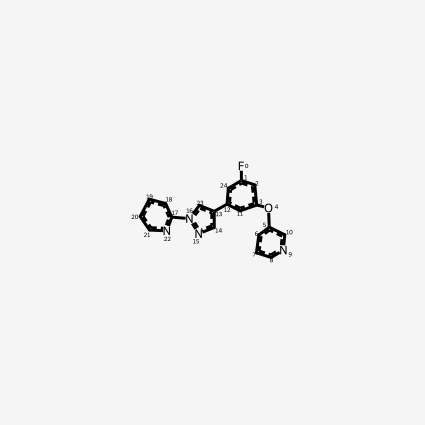 Fc1cc(Oc2cccnc2)cc(-c2cnn(-c3ccccn3)c2)c1